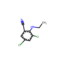 CCNc1c(Cl)cc(Cl)cc1C#N